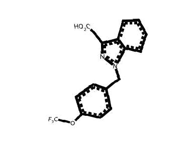 O=C(O)c1nn(Cc2ccc(OC(F)(F)F)cc2)c2ccccc12